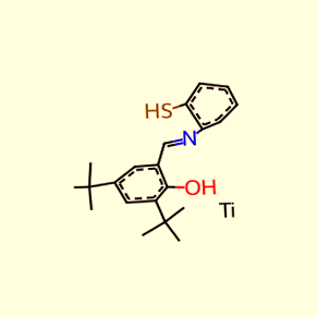 CC(C)(C)c1cc(C=Nc2ccccc2S)c(O)c(C(C)(C)C)c1.[Ti]